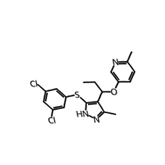 CCC(Oc1ccc(C)nc1)c1c(C)n[nH]c1Sc1cc(Cl)cc(Cl)c1